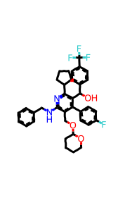 OC(c1ccc(C(F)(F)F)cc1)c1c(C2CCCC2)nc(NCc2ccccc2)c(COC2CCCCO2)c1-c1ccc(F)cc1